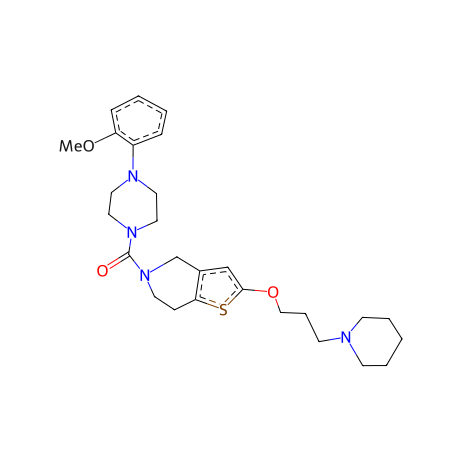 COc1ccccc1N1CCN(C(=O)N2CCc3sc(OCCCN4CCCCC4)cc3C2)CC1